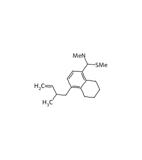 C=CC(C)Cc1ccc(C(NC)SC)c2c1CCCC2